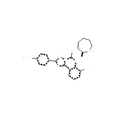 COc1ccc(-c2nc3c4cccc(O)c4nc(N[C@@H]4CCCCNC4=O)n3n2)cc1